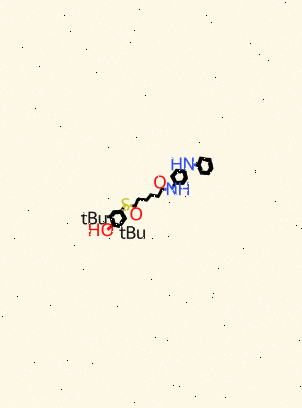 CC(C)(C)c1cc(SC(=O)CCCCC(=O)Nc2ccc(Nc3ccccc3)cc2)cc(C(C)(C)C)c1O